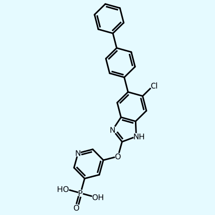 O=P(O)(O)c1cncc(Oc2nc3cc(-c4ccc(-c5ccccc5)cc4)c(Cl)cc3[nH]2)c1